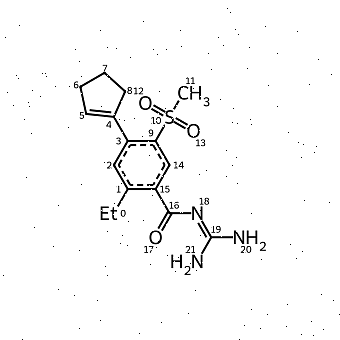 CCc1cc(C2=CCCC2)c(S(C)(=O)=O)cc1C(=O)N=C(N)N